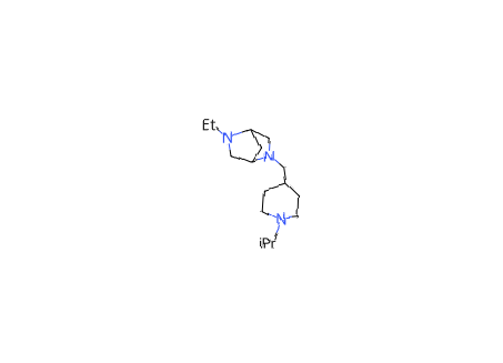 CCN1CC2CC1CN2CC1CCN(C(C)C)CC1